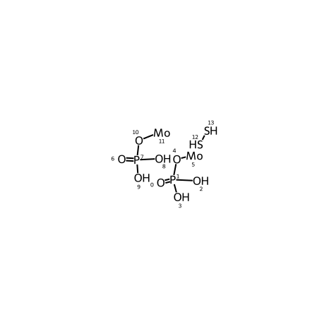 O=P(O)(O)[O][Mo].O=P(O)(O)[O][Mo].SS